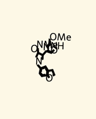 CNC(=O)C1CN(Cc2ccc3c(c2)CCO3)CC1C1=CONC(COC)=N1